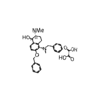 CN[C@@H]1CCc2c(ccc(OCc3ccccc3)c2N(C)Cc2ccccc2)[C@H]1O.O=C(O)C(=O)O